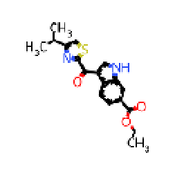 CCOC(=O)c1ccc2c(C(=O)c3nc(C(C)C)cs3)c[nH]c2c1